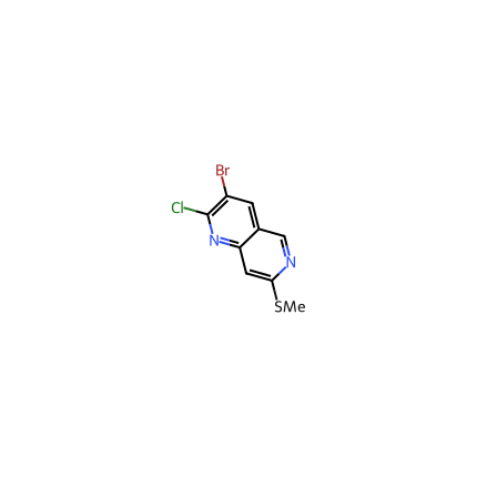 CSc1cc2nc(Cl)c(Br)cc2cn1